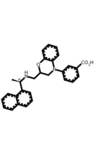 C[C@@H](NCC1CN(c2cccc(C(=O)O)c2)c2ccccc2O1)c1cccc2ccccc12